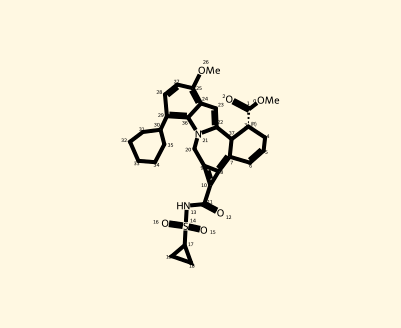 COC(=O)[C@@H]1CC=CC2=C3C(=C3C(=O)NS(=O)(=O)C3CC3)Cn3c(cc4c(OC)ccc(C5CCCCC5)c43)C21